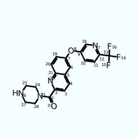 O=C(c1ccc2cc(Oc3ccc(C(F)(F)F)nc3)ccc2n1)N1CCNCC1